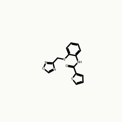 O=C(Nc1ccccc1SCc1ncon1)c1cccs1